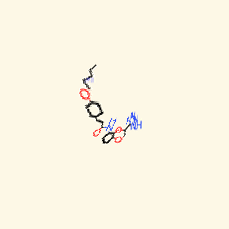 CC/C=C/COc1ccc(C=CC(=O)Nc2cccc3c2OC(c2nnn[nH]2)CO3)cc1